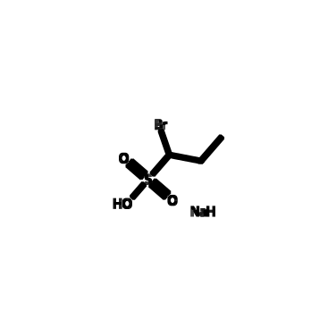 CCC(Br)S(=O)(=O)O.[NaH]